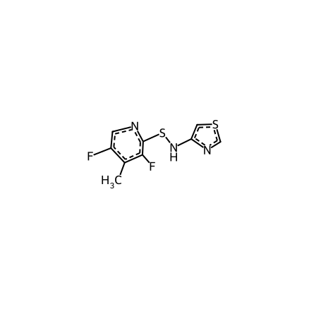 Cc1c(F)cnc(SNc2cscn2)c1F